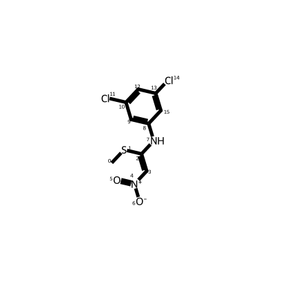 CSC(=C[N+](=O)[O-])Nc1cc(Cl)cc(Cl)c1